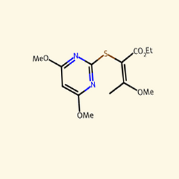 CCOC(=O)C(Sc1nc(OC)cc(OC)n1)=C(C)OC